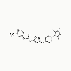 Cc1nn(C)c(C)c1-c1ccc(C[n+]2cc([N-]C(=O)Nc3ccnc(C(F)(F)F)c3)on2)cc1